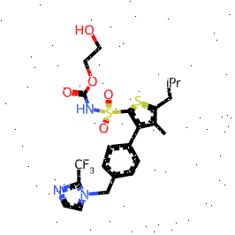 Cc1c(CC(C)C)sc(S(=O)(=O)NC(=O)OCCO)c1-c1ccc(Cn2ccnc2C(F)(F)F)cc1